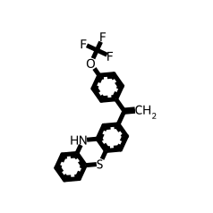 C=C(c1ccc(OC(F)(F)F)cc1)c1ccc2c(c1)Nc1ccccc1S2